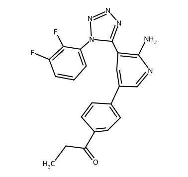 CCC(=O)c1ccc(-c2cnc(N)c(-c3nnnn3-c3cccc(F)c3F)c2)cc1